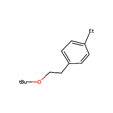 CCc1ccc(CCOC(C)(C)C)cc1